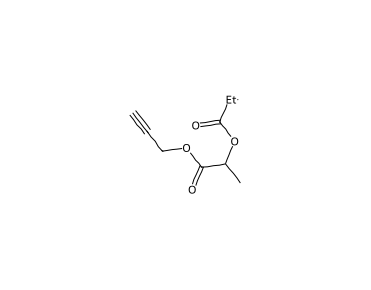 C#CCOC(=O)C(C)OC(=O)[CH]C